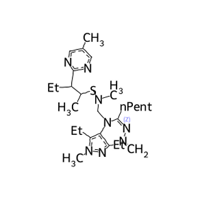 C=N/N=C(/CCCCC)N(CN(C)SC(C)C(CC)c1ncc(C)cn1)c1c(CC)nn(C)c1CC